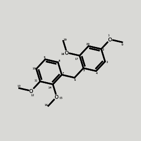 COc1ccc(Cc2cccc(OC)c2OC)c(OC)c1